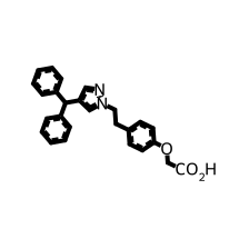 O=C(O)COc1ccc(CCn2cc(C(c3ccccc3)c3ccccc3)cn2)cc1